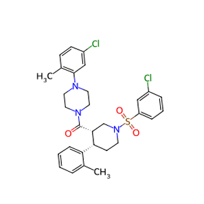 Cc1ccccc1[C@H]1CCN(S(=O)(=O)c2cccc(Cl)c2)C[C@H]1C(=O)N1CCN(c2cc(Cl)ccc2C)CC1